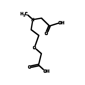 CN(CCOCC(=O)O)CC(=O)O